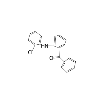 O=C(c1ccccc1)c1ccccc1Nc1ccccc1Cl